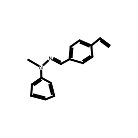 C=Cc1ccc(/C=N/N(C)c2ccccc2)cc1